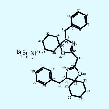 [Br-].[Br-].[Ni+2].c1ccc(C[C@H]2N=C(CC3=N[C@H](Cc4ccccc4)C4(CCCCC4)O3)OC23CCCCC3)cc1